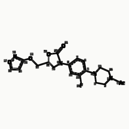 CC(=O)N1CCN(c2ccc(N3CC(COc4ccon4)OC3=O)cc2F)CC1